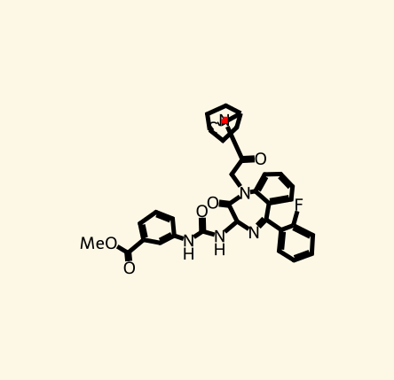 COC(=O)c1cccc(NC(=O)NC2N=C(c3ccccc3F)c3ccccc3N(CC(=O)N3CC4CCC(CC4)C3)C2=O)c1